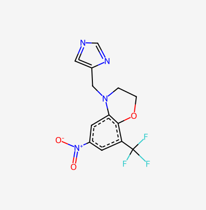 O=[N+]([O-])c1cc2c(c(C(F)(F)F)c1)OCCN2CC1=C=NC=N1